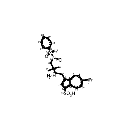 CC(C)c1ccc2c(CCC(C)(C)CN(Cl)S(=O)(=O)c3ccccc3)cc(S(=O)(=O)O)c-2cc1.[NaH]